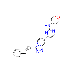 c1ccc(C[C@@H]2CC2c2nnc3cc(-c4ccnc(NC5CCOCC5)n4)ccn23)cc1